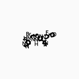 COc1nc(N2CCC(N3CCOCC3)C(F)C2)c(-c2cnn(C)c2)cc1Nc1ncc(Br)c(Nc2ccc3nccnc3c2P(C)C)n1